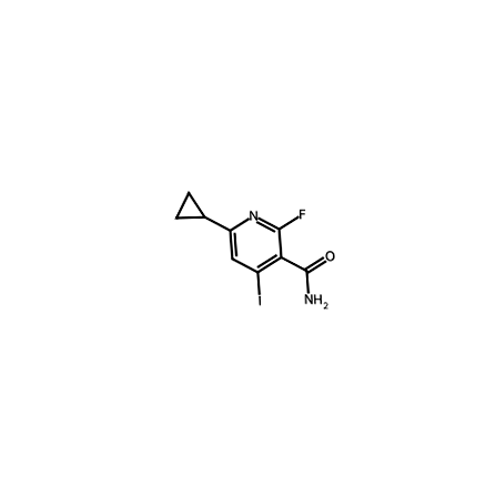 NC(=O)c1c(I)cc(C2CC2)nc1F